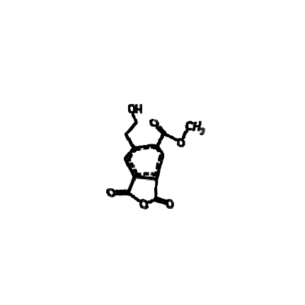 COC(=O)c1cc2c(cc1CCO)C(=O)OC2=O